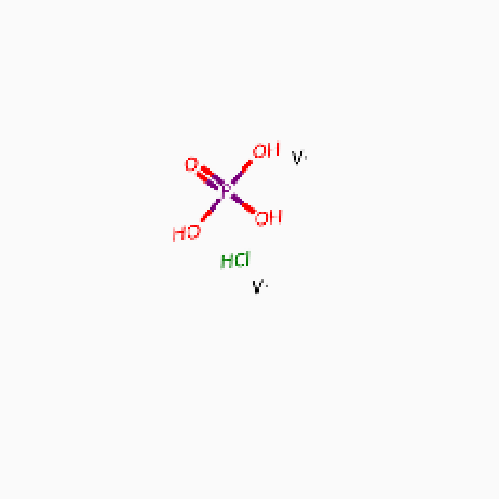 Cl.O=P(O)(O)O.[V].[V]